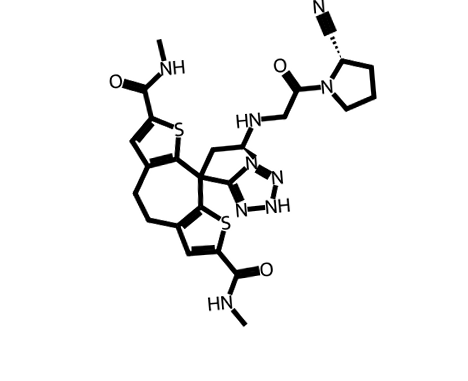 CNC(=O)c1cc2c(s1)C(C[C@H](C)NCC(=O)N1CCC[C@H]1C#N)(c1nn[nH]n1)c1sc(C(=O)NC)cc1CC2